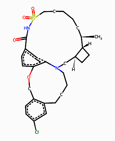 C[C@@H]1CCCCCS(=O)(=O)NC(=O)c2ccc3c(c2)N(CCCCc2cc(Cl)ccc2CO3)C[C@@H]2CC[C@H]21